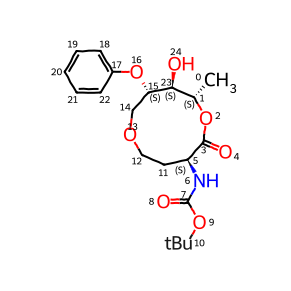 C[C@@H]1OC(=O)[C@@H](NC(=O)OC(C)(C)C)CCOC[C@H](Oc2ccccc2)[C@H]1O